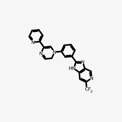 FC(F)(F)c1cc2[nH]c(-c3cccc(N4C=C(c5ccccn5)N=CC4)c3)nc2cn1